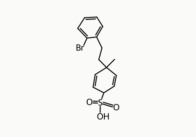 CC1(CCc2ccccc2Br)C=CC(S(=O)(=O)O)C=C1